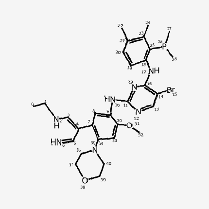 CCN/C=C(\C=N)c1cc(Nc2ncc(Br)c(Nc3ccc(C)c(C)c3P(C)C)n2)c(OC)cc1N1CCOCC1